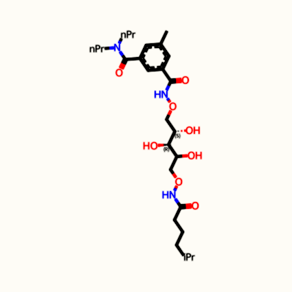 CCCN(CCC)C(=O)c1cc(C)cc(C(=O)NOC[C@H](O)[C@H](O)C(O)CONC(=O)CCCC(C)C)c1